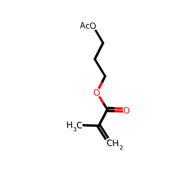 C=C(C)C(=O)OCCCOC(C)=O